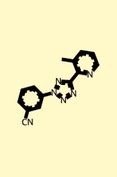 Cc1cccnc1-c1nnn(-c2cccc(C#N)c2)n1